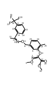 CON=C(Oc1cc(CON=C(C)c2cccc(C(F)(F)F)c2)ccc1C)C(=O)OC